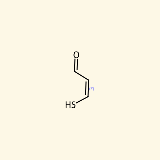 O=C/C=C\S